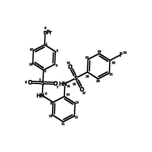 CCCc1ccc(S(=O)(=O)Nc2ccccc2NS(=O)(=O)c2ccc(F)cc2)cc1